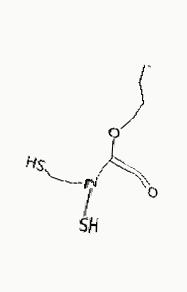 [CH2]COC(=O)N(S)S